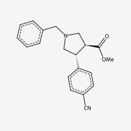 COC(=O)[C@@H]1CN(Cc2ccccc2)C[C@H]1c1ccc(C#N)cc1